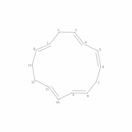 [C]1=C/C/C=C/C=C\C/C=C/C=C/CC/1